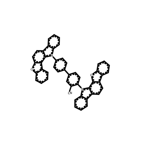 N#Cc1cc(-c2ccc(-n3c4ccccc4c4ccc5oc6ccccc6c5c43)cc2)ccc1-n1c2ccccc2c2ccc3c4ccccc4oc3c21